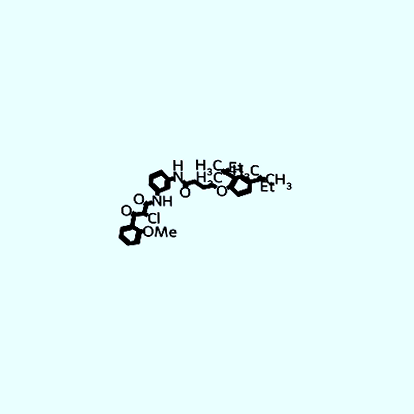 CCC(C)(C)c1ccc(OCCCC(=O)Nc2cccc(NC(=O)C(Cl)C(=O)c3ccccc3OC)c2)c(C(C)(C)CC)c1